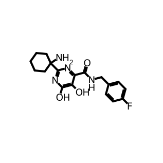 NC1(c2nc(O)c(O)c(C(=O)NCc3ccc(F)cc3)n2)CCCCC1